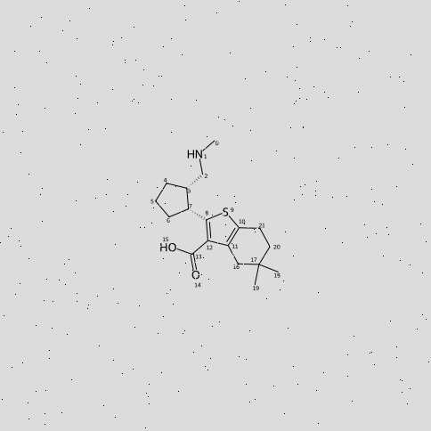 CNC[C@H]1CCC[C@H]1c1sc2c(c1C(=O)O)CC(C)(C)CC2